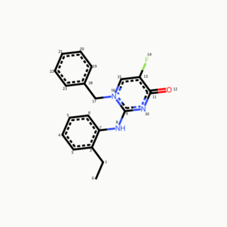 CCc1ccccc1Nc1nc(=O)c(F)cn1Cc1ccccc1